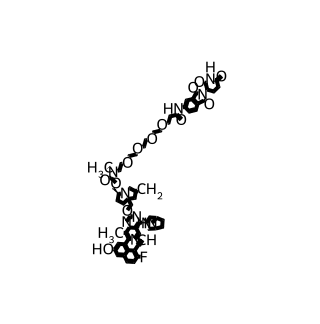 C#Cc1c(F)ccc2cc(O)cc(-c3ncc4c(N5CC6CCC(C5)N6)nc(OCC56CC[C@@H](COC(=O)N(C)CCOCCOCCOCCOCCC(=O)Nc7ccc8c(c7)C(=O)N(C7CCC(=O)NC7=O)C8=O)N5CC(=C)C6)nc4c3C)c12